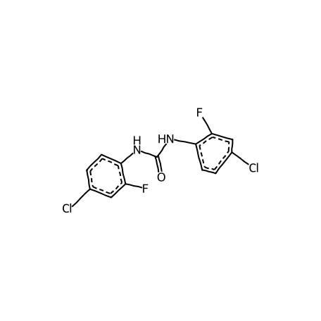 O=C(Nc1ccc(Cl)cc1F)Nc1ccc(Cl)cc1F